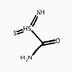 N=[SH](=S)C(N)=O